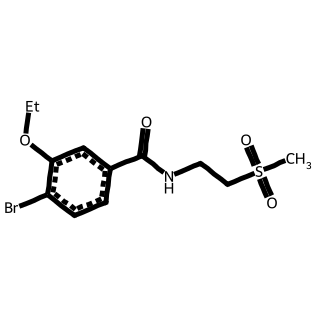 CCOc1cc(C(=O)NCCS(C)(=O)=O)ccc1Br